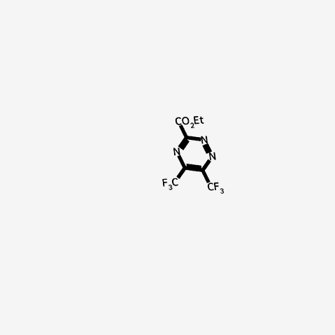 CCOC(=O)c1nnc(C(F)(F)F)c(C(F)(F)F)n1